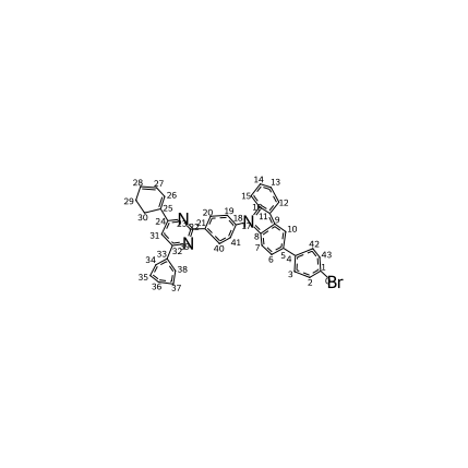 Brc1ccc(-c2ccc3c(c2)c2ccccc2n3-c2ccc(-c3nc(C4=CC=CCC4)cc(-c4ccccc4)n3)cc2)cc1